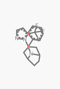 FC(F)(F)c1ccnn1C1CC2CCC(C1)N2Cc1ccccc1